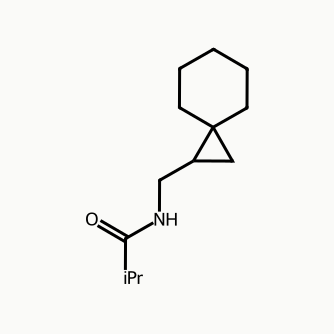 CC(C)C(=O)NCC1CC12CCCCC2